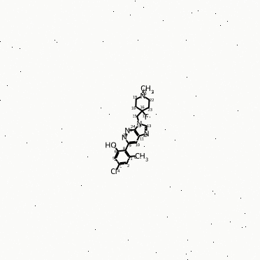 Cc1cc(Cl)cc(O)c1-c1cc2ncn(CC3(F)CCN(C)CC3)c2nn1